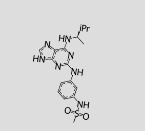 CC(C)[C@@H](C)Nc1nc(Nc2cccc(NS(C)(=O)=O)c2)nc2[nH]cnc12